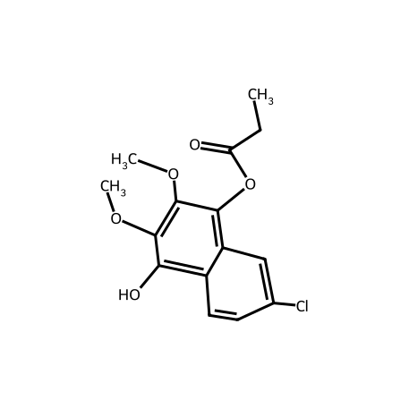 CCC(=O)Oc1c(OC)c(OC)c(O)c2ccc(Cl)cc12